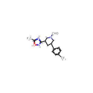 O=CN1CC(c2ccc(C(F)(F)F)cc2)CC(c2noc(C(F)(F)F)n2)C1